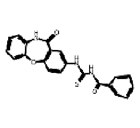 O=C(NC(=S)Nc1ccc2c(c1)C(=O)Nc1ccccc1O2)c1ccccc1